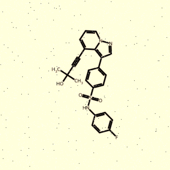 CC(C)(O)C#Cc1cccn2ncc(-c3ccc(S(=O)(=O)Nc4ccc(F)cc4)cc3)c12